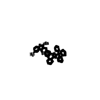 CCCCc1nc2ccc(C)cc2c(C(=O)O)c1Cc1ccc(-c2ccccc2-c2nnn(C(c3ccccc3)(c3ccccc3)c3ccccc3)n2)cc1